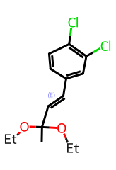 CCOC(C)(/C=C/c1ccc(Cl)c(Cl)c1)OCC